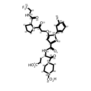 O=C(O)CC[C@H](NC(=O)c1cc(OCC(=O)N2CCC[C@H]2C(=O)NCC(F)(F)F)n(-c2cccc(F)c2)n1)C(=O)N1CCN(C(=O)O)CC1